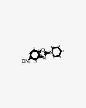 O=Nc1ccc2oc(N3CCCCC3)nc2c1